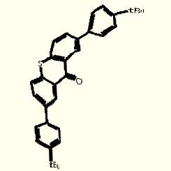 CC(C)(C)c1ccc(-c2ccc3sc4ccc(-c5ccc(C(C)(C)C)cc5)cc4c(=O)c3c2)cc1